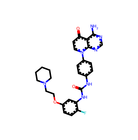 Nc1ncnc2c1c(=O)ccn2-c1ccc(NC(=O)Nc2cc(OCCN3CCCCC3)ccc2F)cc1